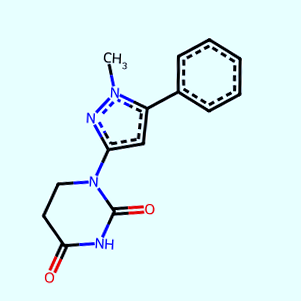 Cn1nc(N2CCC(=O)NC2=O)cc1-c1ccccc1